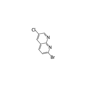 Clc1cnc2nc(Br)ccc2c1